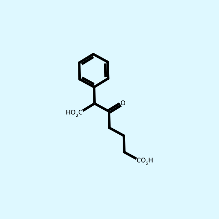 O=C(O)CCCC(=O)C(C(=O)O)c1ccccc1